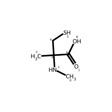 CNC(C)(CS)C(=O)O